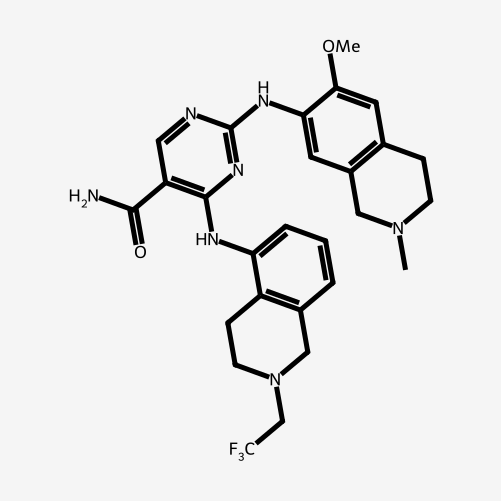 COc1cc2c(cc1Nc1ncc(C(N)=O)c(Nc3cccc4c3CCN(CC(F)(F)F)C4)n1)CN(C)CC2